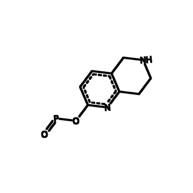 O=POc1ccc2c(n1)CCNC2